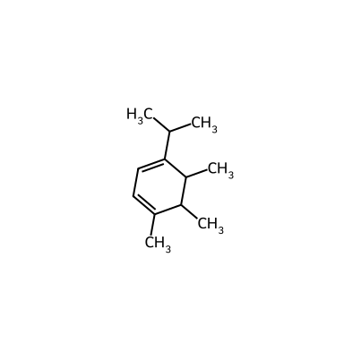 CC1=CC=C(C(C)C)C(C)C1C